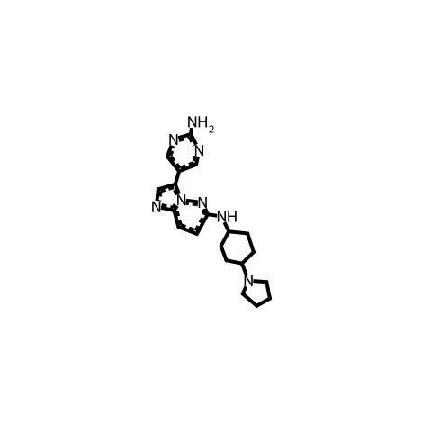 Nc1ncc(-c2cnc3ccc(NC4CCC(N5CCCC5)CC4)nn23)cn1